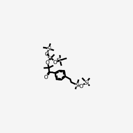 CC(C)(O[Si](C)(O[Si](C)(C)C)O[Si](C)(C)C)C(=O)c1ccc(CC[Si](C)(C)O[Si](C)(C)C)cc1